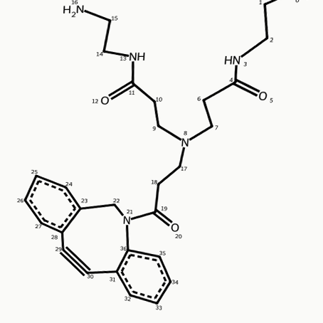 NCCNC(=O)CCN(CCC(=O)NCCN)CCC(=O)N1Cc2ccccc2C#Cc2ccccc21